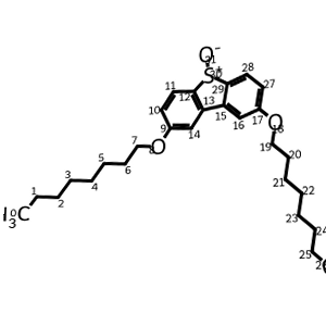 CCCCCCCCOc1ccc2c(c1)c1cc(OCCCCCCCC)ccc1[s+]2[O-]